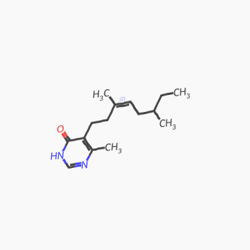 CCC(C)C/C=C(/C)CCc1c(C)nc[nH]c1=O